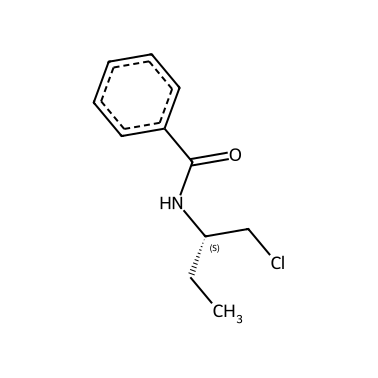 CC[C@@H](CCl)NC(=O)c1ccccc1